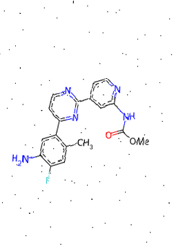 COC(=O)Nc1cc(-c2nccc(-c3cc(N)c(F)cc3C)n2)ccn1